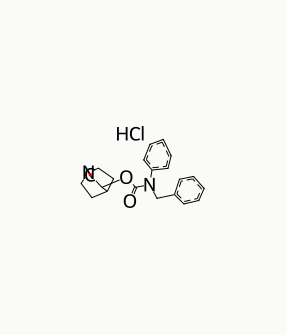 Cl.O=C(OC1CN2CCC1CC2)N(Cc1ccccc1)c1ccccc1